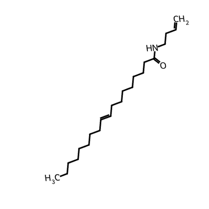 C=CCCNC(=O)CCCCCCCC=CCCCCCCCC